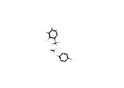 O=C(Oc1ccc([N+](=O)[O-])cc1)OC(F)(F)c1ccc(F)c(F)c1F